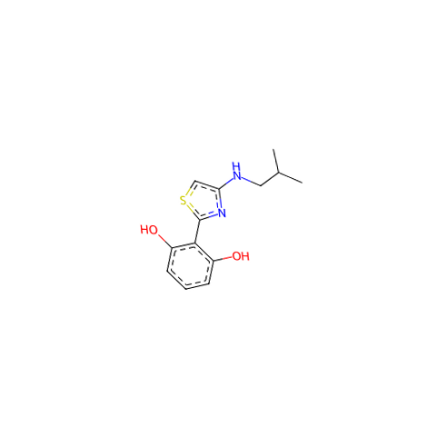 CC(C)CNc1csc(-c2c(O)cccc2O)n1